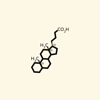 C[C@]12CCCCC1CCC1C2CC[C@@]2(C)C1CC[C@@H]2CCCC(=O)O